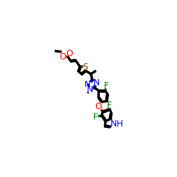 CCOC(=O)/C=C/c1ccc(C(C)c2nc(-c3cc(Oc4c(F)cc5[nH]ccc5c4F)ccc3F)n(C)n2)s1